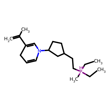 C=C(C)C1=CN(C2CCC(CC[PH](C)(CC)CC)C2)C=CC1